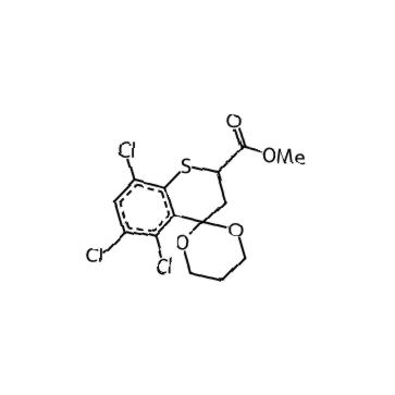 COC(=O)C1CC2(OCCCO2)c2c(Cl)c(Cl)cc(Cl)c2S1